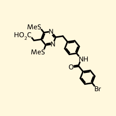 CSc1nc(Cc2ccc(NC(=O)c3ccc(Br)cc3)cc2)nc(SC)c1CC(=O)O